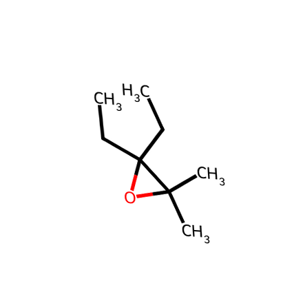 CCC1(CC)OC1(C)C